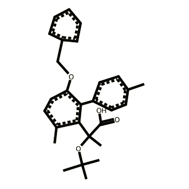 Cc1ccc(-c2c(OCc3ccccc3)ccc(C)c2C(C)(OC(C)(C)C)C(=O)O)cc1